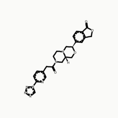 O=C1OCc2cc([C@@H]3CN4CCN(C(=O)Cc5ccc(-n6cnnn6)nc5)C[C@H]4CO3)ccc21